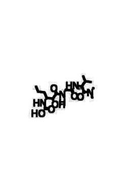 CCCC(NC(=O)O)C(O)C(=O)NCC(=O)N[C@H](C(=O)N(C)C)C(C)C